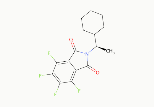 C[C@H](C1CCCCC1)N1C(=O)c2c(F)c(F)c(F)c(F)c2C1=O